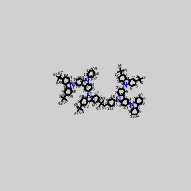 CC(C)(C)c1ccc2c(c1)c1cc(C(C)(C)C)ccc1n2-c1ccc2c(c1)c1cc(-n3c4ccccc4c4ccccc43)ccc1n2-c1ccc(CC(C)(C)c2ccc3c(c2)c2cc(C(C)(C)C)ccc2n3-c2ccc3c(c2)c2cc(-n4c5ccc(C(C)(C)C)cc5c5cc(C(C)(C)C)ccc54)ccc2n3-c2ccccc2)cc1